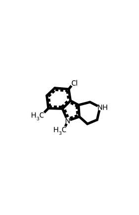 Cc1ccc(Cl)c2c3c(n(C)c12)CCNC3